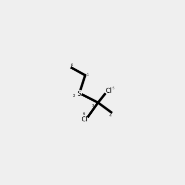 CCSC(C)(Cl)Cl